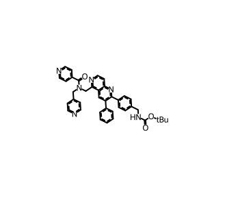 CC(C)(C)OC(=O)NCc1ccc(-c2nc3ccnc(CN(Cc4ccncc4)C(=O)c4ccncc4)c3cc2-c2ccccc2)cc1